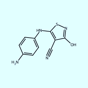 N#Cc1c(O)nsc1Nc1ccc(N)cc1